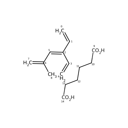 C=CC(C=C)=CC(=C)C.O=C(O)CCCCC(=O)O